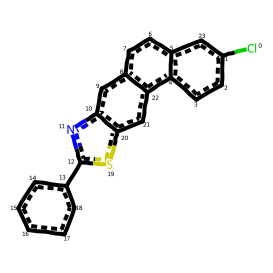 Clc1ccc2c(ccc3cc4nc(-c5ccccc5)sc4cc32)c1